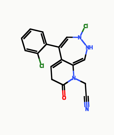 N#CCN1C(=O)CC=C2C(c3ccccc3Cl)=CN(Cl)NC=C21